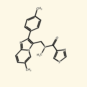 Cc1ccc(-c2nc3ccc(C)cn3c2CN(C)C(=O)c2cscn2)cc1